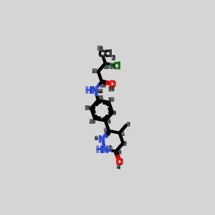 CC1CC(=O)NN=C1c1ccc(NC(=O)CC(Cl)C(Cl)(Cl)Cl)cc1